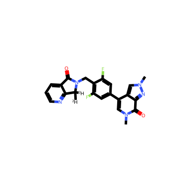 [2H]C1([2H])c2ncccc2C(=O)N1Cc1c(F)cc(-c2cn(C)c(=O)c3nn(C)cc23)cc1F